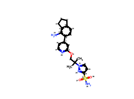 CC(C)(COc1cc(-c2ccc3c(c2N)CCC3)ccn1)n1ccc(S(N)(=O)=O)n1